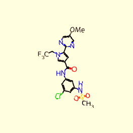 COc1cnc(-c2cc(C(=O)Nc3cc(Cl)cc(NS(C)(=O)=O)c3)cn2CC(F)(F)F)nc1